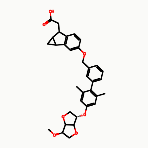 CO[C@@H]1COC2C1OC[C@@H]2Oc1cc(C)c(-c2cccc(COc3ccc4c(c3)C3CC3C4CC(=O)O)c2)c(C)c1